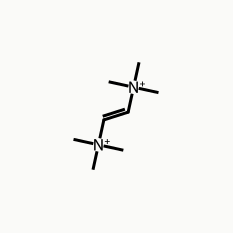 C[N+](C)(C)C=C[N+](C)(C)C